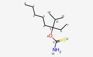 CCCCCC(CC)(OC(N)=S)C(C)C